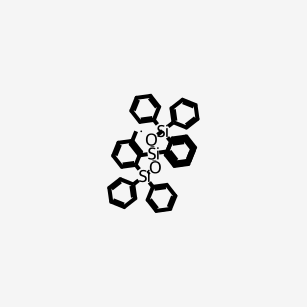 [CH2]CC[Si](O[Si](c1ccccc1)(c1ccccc1)c1ccccc1)(O[Si](c1ccccc1)(c1ccccc1)c1ccccc1)c1ccccc1